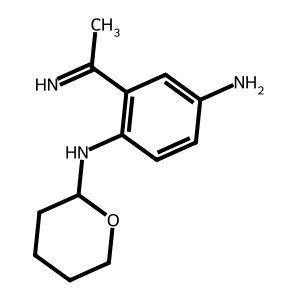 CC(=N)c1cc(N)ccc1NC1CCCCO1